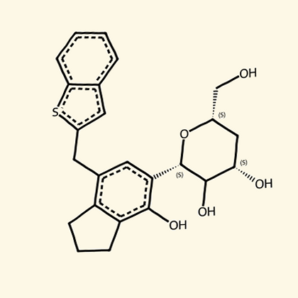 OC[C@@H]1C[C@H](O)C(O)[C@H](c2cc(Cc3cc4ccccc4s3)c3c(c2O)CCC3)O1